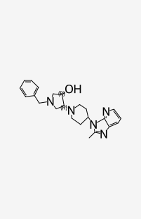 Cc1nc2cccnc2n1C1CCN([C@@H]2CN(Cc3ccccc3)C[C@H]2O)CC1